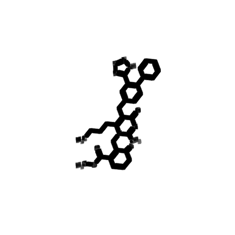 CCCCc1c(Cc2ccc(-c3ccccc3)c(-c3nnn[nH]3)c2)c(=O)nc(C)n1CC1=C(C(=O)OC)C=CCC1=S